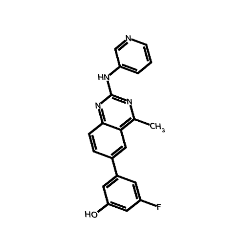 Cc1nc(Nc2cccnc2)nc2ccc(-c3cc(O)cc(F)c3)cc12